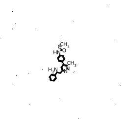 COC(=O)Nc1ccc(-c2cc(CC(N)c3ccccc3)nnc2C)cc1